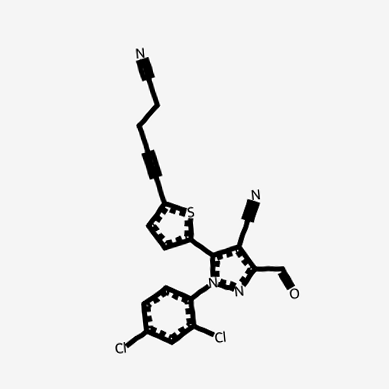 N#CCCC#Cc1ccc(-c2c(C#N)c(C=O)nn2-c2ccc(Cl)cc2Cl)s1